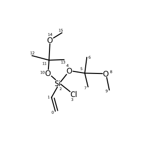 C=C[Si](Cl)(OC(C)(C)OC)OC(C)(C)OC